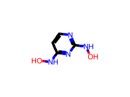 ONc1ccnc(NO)n1